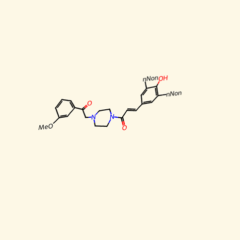 CCCCCCCCCc1cc(C=CC(=O)N2CCN(CC(=O)c3cccc(OC)c3)CC2)cc(CCCCCCCCC)c1O